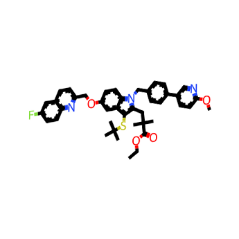 CCOC(=O)C(C)(C)Cc1c(SC(C)(C)C)c2cc(OCc3ccc4cc(F)ccc4n3)ccc2n1Cc1ccc(-c2ccc(OC)nc2)cc1